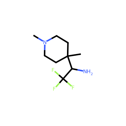 CN1CCC(C)(C(N)C(F)(F)F)CC1